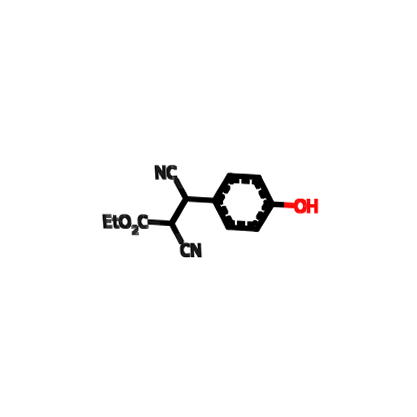 CCOC(=O)C(C#N)C(C#N)c1ccc(O)cc1